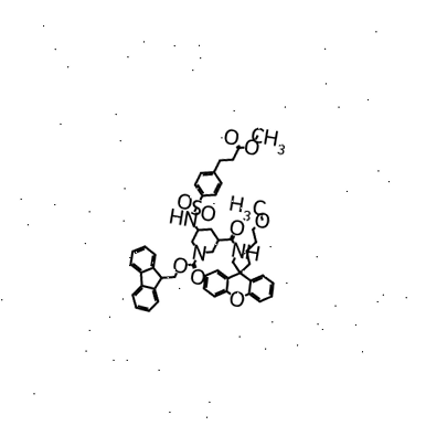 COCCCCC1(CNC(=O)C2CC(NS(=O)(=O)c3ccc(CCC(=O)OC)cc3)CN(C(=O)OCC3c4ccccc4-c4ccccc43)C2)c2ccccc2Oc2ccccc21